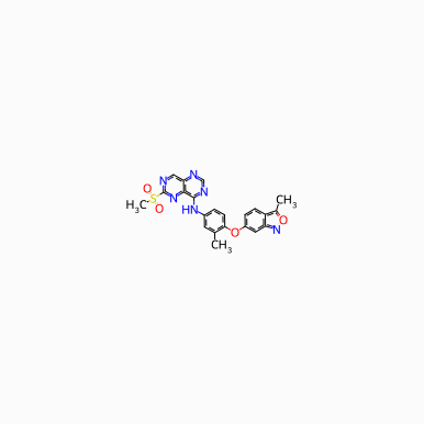 Cc1cc(Nc2ncnc3cnc(S(C)(=O)=O)nc23)ccc1Oc1ccc2c(C)onc2c1